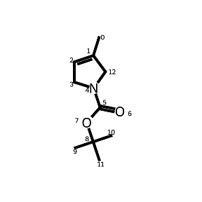 CC1=CCN(C(=O)OC(C)(C)C)C1